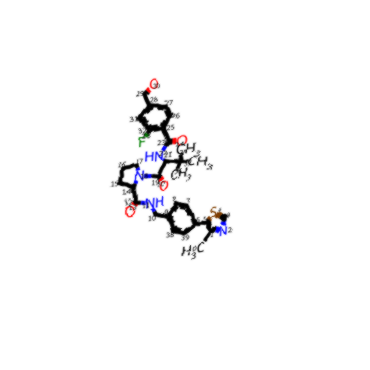 Cc1ncsc1-c1ccc(CNC(=O)C2CCCN2C(=O)[C@@H](NC(=O)c2ccc(C=O)cc2F)C(C)(C)C)cc1